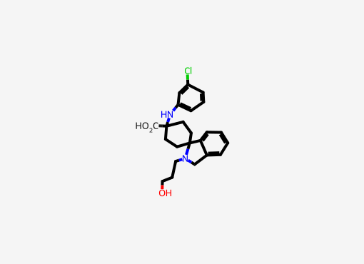 O=C(O)C1(Nc2cccc(Cl)c2)CCC2(CC1)c1ccccc1CN2CCCO